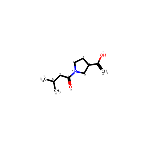 C=C(O)C1CCN(C(=O)CC(C)C)C1